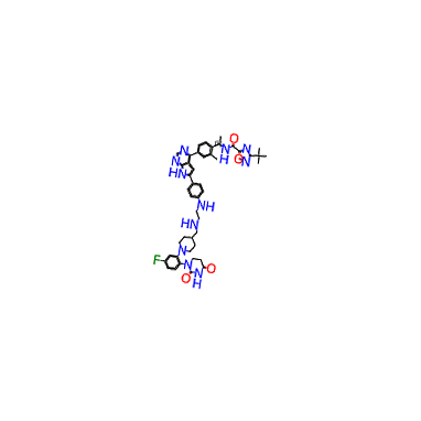 Cc1cc(-c2ncnc3[nH]c(-c4ccc(NCCNCC5CCN(c6cc(F)ccc6N6CCC(=O)NC6=O)CC5)cc4)cc23)ccc1[C@@H](C)NC(=O)c1nc(C(C)(C)C)no1